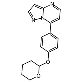 c1cc(-c2ccc(OC3CCCCO3)cc2)n2nccc2n1